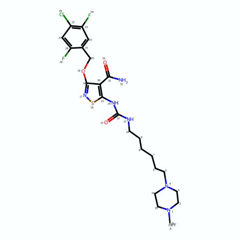 CCCN1CCN(CCCCCCNC(=O)Nc2snc(OCc3cc(F)c(Cl)cc3F)c2C(N)=O)CC1